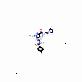 Cc1ccc(C(=O)Nc2nc3c(s2)c(C(=O)NCCN2CCCC2)nn3C(C)(C)C)cc1